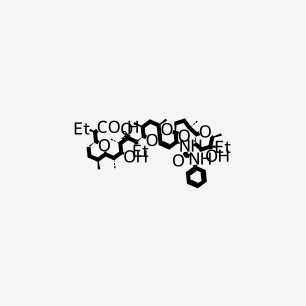 CCC(C(=O)[C@@H](C)[C@@H](O)[C@H](C)[C@@H]1O[C@@H]([C@@H](CC)C(=O)O)CC[C@@H]1C)[C@H]1O[C@]2(C=C[C@@H](NC(=O)Nc3ccccc3)[C@]3(CC[C@@](C)([C@H]4CC[C@](O)(CC)[C@H](C)O4)O3)O2)[C@H](C)C[C@@H]1C